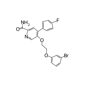 NC(=O)c1cc(-c2ccc(F)cc2)c(OCCOc2cccc(Br)c2)cn1